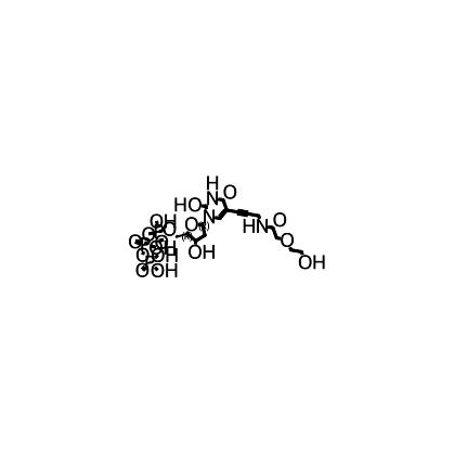 O=C(COCCO)NCC#CC1=CN([C@H]2CC(O)[C@@H](COP(=O)(O)OP(=O)(O)OP(=O)(O)O)O2)C(O)NC1=O